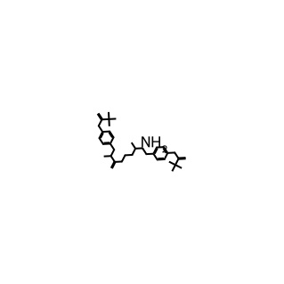 C=C(CCCC(C)C(N)Cc1ccc(CC(=C)C(C)(C)C)cc1)C(C)Cc1ccc(CC(=C)C(C)(C)C)cc1